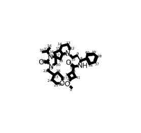 COC1CC(C(=O)N[C@@H](CCN2CCCC3CC4(CC32)CN(CC2CCOCC2)C(=O)N4C(C)C)c2ccccc2)C1